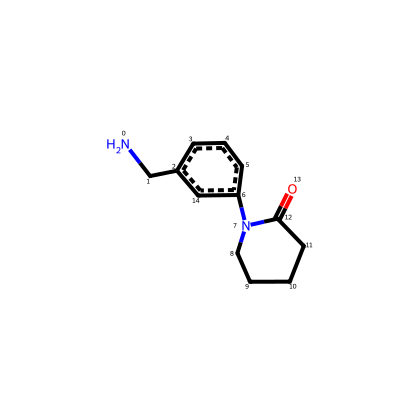 NCc1cccc(N2CCCCC2=O)c1